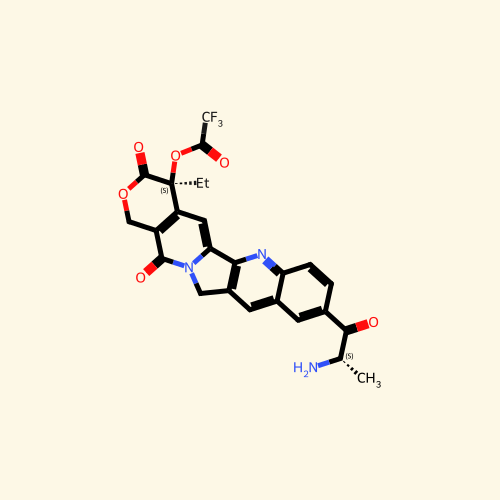 CC[C@@]1(OC(=O)C(F)(F)F)C(=O)OCc2c1cc1n(c2=O)Cc2cc3cc(C(=O)[C@H](C)N)ccc3nc2-1